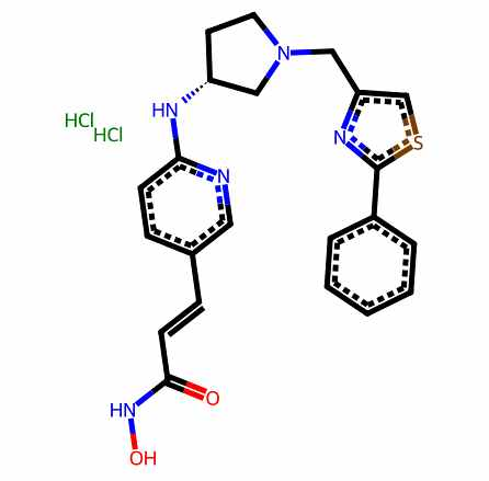 Cl.Cl.O=C(/C=C/c1ccc(N[C@@H]2CCN(Cc3csc(-c4ccccc4)n3)C2)nc1)NO